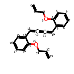 C=CCOc1ccccc1C=C=C=Cc1ccccc1OCC=C